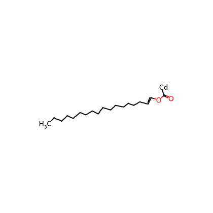 CCCCCCCCCCCCCCCCC=CO[C](=O)[Cd]